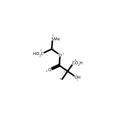 CSC(OC(=O)C(C)(O)C(=O)O)C(=O)O